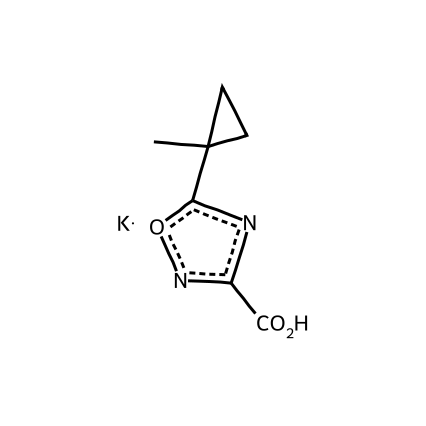 CC1(c2nc(C(=O)O)no2)CC1.[K]